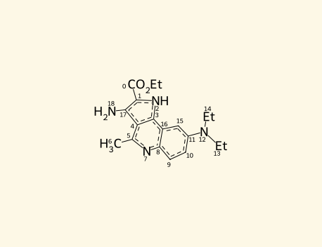 CCOC(=O)c1[nH]c2c(c(C)nc3ccc(N(CC)CC)cc32)c1N